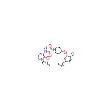 Cn1nccc(NC(=O)C(=O)N2CCC(Oc3cc(C(F)(F)F)ccc3Cl)CC2)c1=O